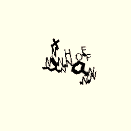 Cc1cc2cnc(Nc3ccc(-c4nncn4C)cc3OC(F)F)nc2c(N2CC(C)(C)C2)n1